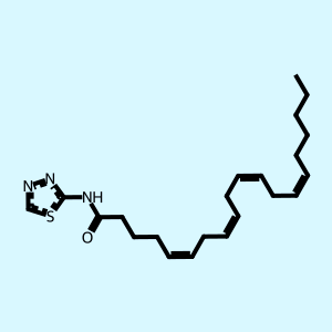 CCCCC/C=C\C/C=C\C/C=C\C/C=C\CCCC(=O)Nc1nncs1